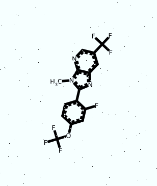 Cn1c(-c2ccc(OC(F)(F)F)cc2F)nc2cc(C(F)(F)F)cnc21